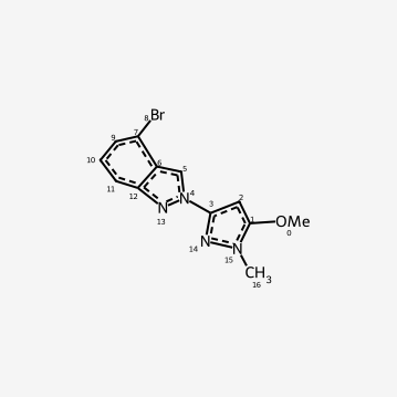 COc1cc(-n2cc3c(Br)cccc3n2)nn1C